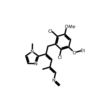 C=N/C=C(C)/C=C(/Cc1c(Cl)c(OC)cc(OCC)c1Cl)c1nccn1C